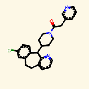 O=C(Cc1cccnc1)N1CCC(C2c3ccc(Cl)cc3CCc3cccnc32)CC1